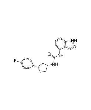 O=C(Nc1cccc2[nH]ncc12)NC1CC[C@H](c2ccc(F)cc2)C1